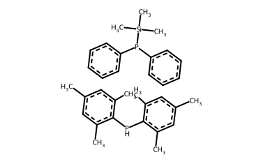 C[Si](C)(C)P(c1ccccc1)c1ccccc1.Cc1cc(C)c(Pc2c(C)cc(C)cc2C)c(C)c1